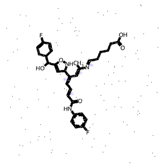 CC(=C\C(=C/C=C/C(=O)Nc1ccc(F)cc1)C1C=C(C(O)C2C=CC(F)=CC2)ON1)/N=C/CCCCC(=O)O